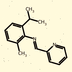 Cc1cccc(C(C)C)c1N=Cc1ccccn1